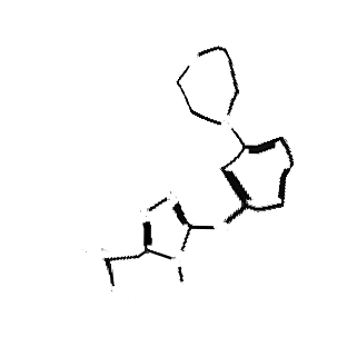 CCn1c(Oc2cccc(N3CCOCC3)c2)nnc1[C@@H](C)N